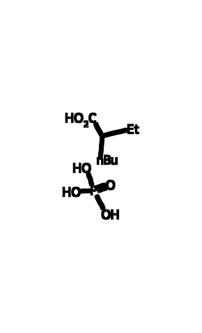 CCCCC(CC)C(=O)O.O=P(O)(O)O